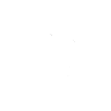 O=C1CCC2N=CC3=Nc4ccccc4C3=C2C1